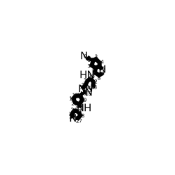 N#Cc1ccc2nccc(Nc3ccn4nc(-c5cccc(Nc6ccncc6)c5)nc4c3)c2c1